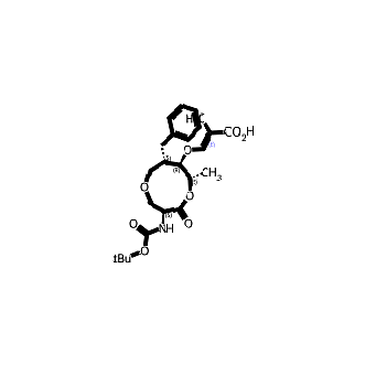 C/C(=C\O[C@@H]1[C@@H](Cc2ccccc2)COC[C@H](NC(=O)OC(C)(C)C)C(=O)O[C@H]1C)C(=O)O